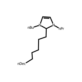 CCCCCCCCCCCCCCCC1N(CCC)C=CN1CCCC